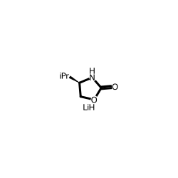 CC(C)[C@@H]1COC(=O)N1.[LiH]